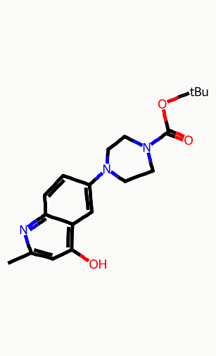 Cc1cc(O)c2cc(N3CCN(C(=O)OC(C)(C)C)CC3)ccc2n1